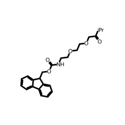 CC(C)C(=O)COCCOCCNC(=O)OCC1c2ccccc2-c2ccccc21